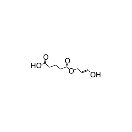 O=C(O)CCCC(=O)OCC=CO